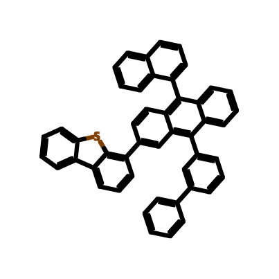 c1ccc(-c2cccc(-c3c4ccccc4c(-c4cccc5ccccc45)c4ccc(-c5cccc6c5sc5ccccc56)cc34)c2)cc1